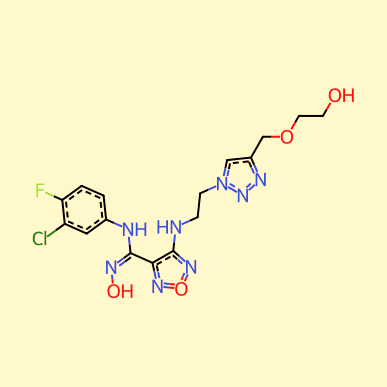 OCCOCc1cn(CCNc2nonc2C(=NO)Nc2ccc(F)c(Cl)c2)nn1